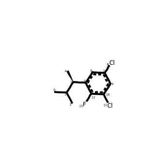 CC(C)[C@@H](C)c1cc(Cl)cc(Cl)c1F